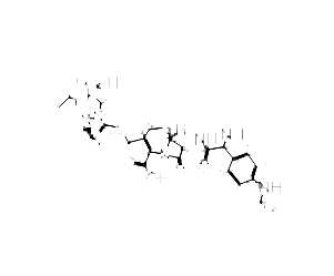 CCOP(=O)(O)Cn1nnnc1SCC1=C(C(=O)O)N2C(=O)[C@@H](NC(=O)C(N)c3ccc(NC=O)cc3)[C@H]2SC1